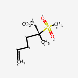 C=CCC[C@](C)(C(=O)OCC)S(C)(=O)=O